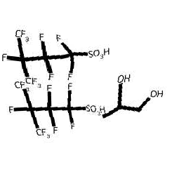 CC(O)CO.O=S(=O)(O)C(F)(F)C(F)(F)C(F)(C(F)(F)F)C(F)(F)F.O=S(=O)(O)C(F)(F)C(F)(F)C(F)(C(F)(F)F)C(F)(F)F